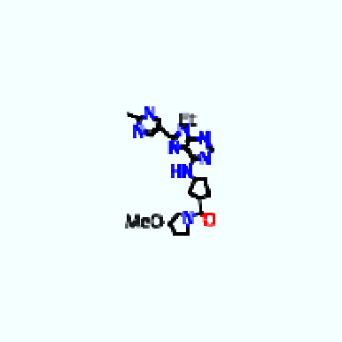 CCn1c(-c2cnc(C)nc2)nc2c(N[C@H]3CCC(C(=O)N4CC[C@H](OC)C4)C3)ncnc21